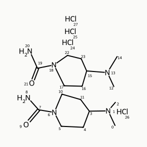 CN(C)C1CCN(C(N)=O)CC1.CN(C)C1CCN(C(N)=O)CC1.Cl.Cl.Cl.Cl